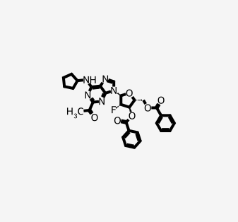 CC(=O)c1nc(NC2CCCC2)c2ncn([C@@H]3O[C@H](COC(=O)c4ccccc4)[C@@H](OC(=O)c4ccccc4)[C@@H]3F)c2n1